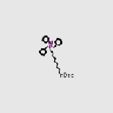 CCCCCCCCCCCCCCCCCCC[PH](Cc1ccccc1)(Cc1ccccc1)Cc1ccccc1